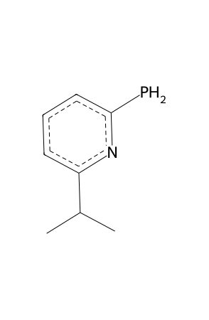 CC(C)c1cccc(P)n1